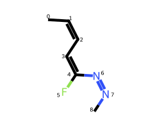 C\C=C/C=C(F)\N=N/C